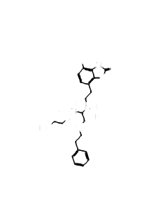 CCCS(=O)(=O)NC(COCCc1ccccc1)NCCc1ccc(O)c2[nH]c(=O)sc12.Cl